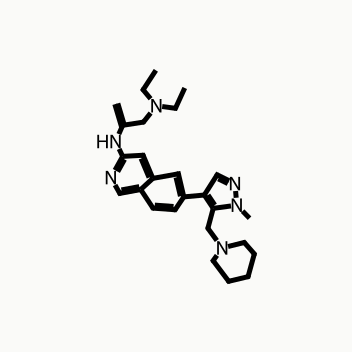 C=C(CN(CC)CC)Nc1cc2cc(-c3cnn(C)c3CN3CCCCC3)ccc2cn1